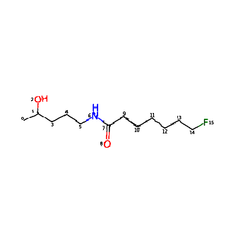 CC(O)CCCNC(=O)CCCCCCF